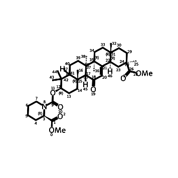 COC(=O)[C@H]1CCCCN1C(=O)O[C@@H]1CC[C@@]2(C)[C@H]3C(=O)C=C4[C@@H]5C[C@](C)(C(=O)OC)CC[C@@]5(C)CC[C@]4(C)[C@]3(C)CC[C@H]2C1(C)C